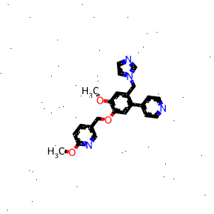 COc1ccc(COc2cc(-c3ccncc3)c(Cn3ccnc3)cc2OC)cn1